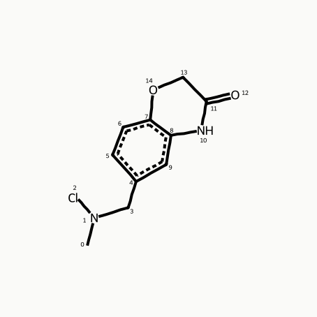 CN(Cl)Cc1ccc2c(c1)NC(=O)CO2